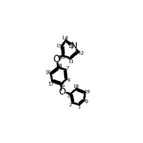 c1ccc(Oc2ccc(Oc3ccncc3)cc2)cc1